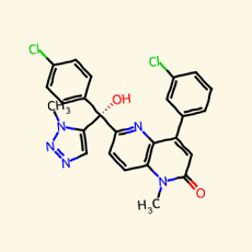 Cn1nncc1[C@@](O)(c1ccc(Cl)cc1)c1ccc2c(n1)c(-c1cccc(Cl)c1)cc(=O)n2C